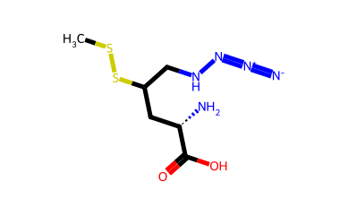 CSSC(CNN=[N+]=[N-])C[C@H](N)C(=O)O